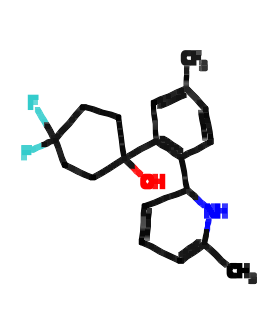 CC1=CC=CC(c2ccc(C(F)(F)F)cc2C2(O)CCC(F)(F)CC2)N1